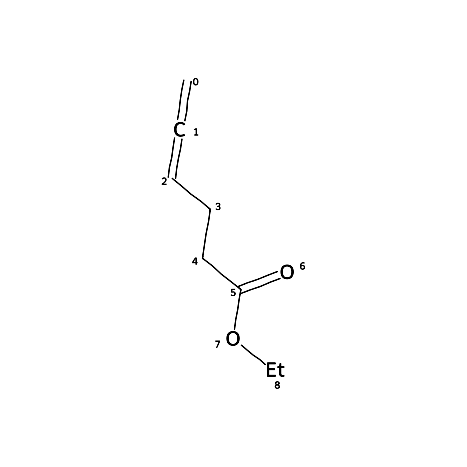 C=C=CCCC(=O)OCC